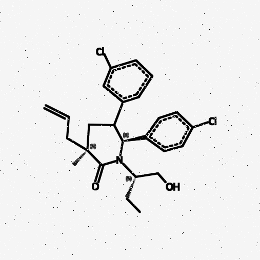 C=CC[C@@]1(C)CC(c2cccc(Cl)c2)[C@@H](c2ccc(Cl)cc2)N([C@@H](CC)CO)C1=O